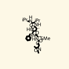 CSC[C@H](NC(=O)OCc1nc(C)oc1C)C(=O)N[C@H](Cc1ccccc1)[C@@H](O)C[C@@H](C)C(=O)N[C@@H](C(=O)NCC(C)C)C(C)C